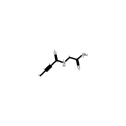 CC#CC(=O)NCC(=O)C(C)(C)C